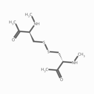 CN[C@@H](CSSC[C@H](NC)C(C)=O)C(C)=O